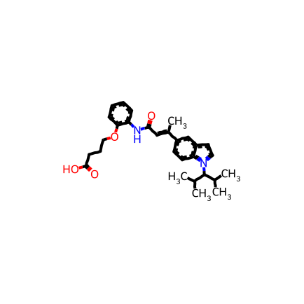 CC(=CC(=O)Nc1ccccc1OCCCC(=O)O)c1ccc2c(ccn2C(C(C)C)C(C)C)c1